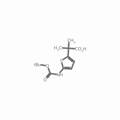 CC(C)(C)OC(=O)Nc1ccc(C(C)(C)C(=O)O)s1